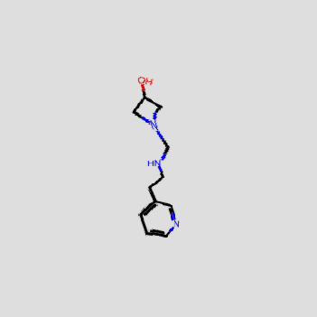 OC1CN(CNCCc2cccnc2)C1